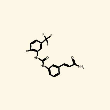 NC(=O)/C=C/c1cccc(NC(=O)Nc2cc(C(F)(F)F)ccc2F)c1